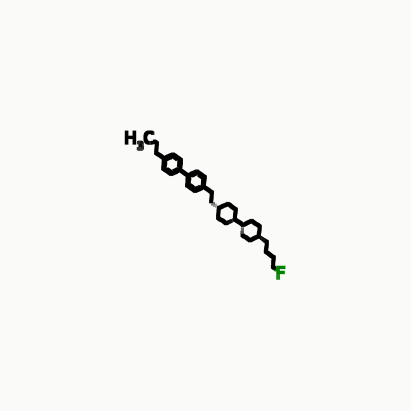 CCCc1ccc(-c2ccc(CC[C@H]3CC[C@H]([C@H]4CC[C@H](CCCCF)CC4)CC3)cc2)cc1